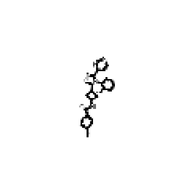 O=C(NC1CC(c2nnc(-c3ccncn3)n2-c2ccccc2Cl)C1)c1ccc(F)cc1